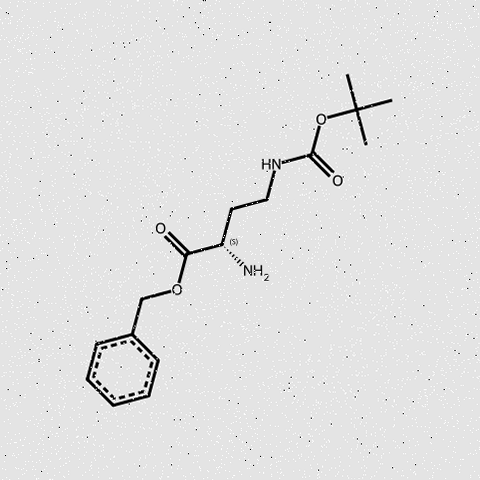 CC(C)(C)OC(=O)NCC[C@H](N)C(=O)OCc1ccccc1